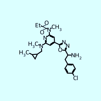 CCS(=O)(=O)N(C)c1cc(-c2nnc(C(N)Cc3ccc(Cl)cc3)o2)cc(N(C)CC2CC2C)n1